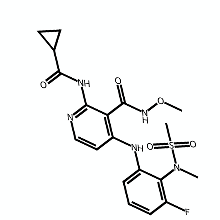 CONC(=O)c1c(Nc2cccc(F)c2N(C)S(C)(=O)=O)ccnc1NC(=O)C1CC1